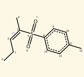 CC/C=C(/C)S(=O)(=O)c1ccc(C)cc1